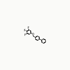 Fc1cc(OCc2ccc(-c3ccccc3)cc2)cc(F)c1F